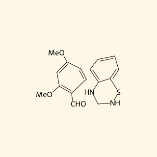 COc1ccc(C=O)c(OC)c1.c1ccc2c(c1)NCNS2